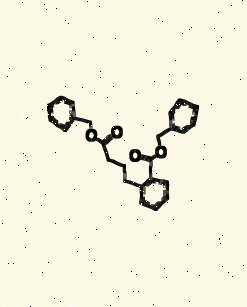 O=C(CCCc1ccccc1C(=O)OCc1ccccc1)OCc1ccccc1